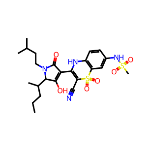 CCCC(C)C1C(O)=C(C2=C(C#N)S(=O)(=O)c3cc(NS(C)(=O)=O)ccc3N2)C(=O)N1CCC(C)C